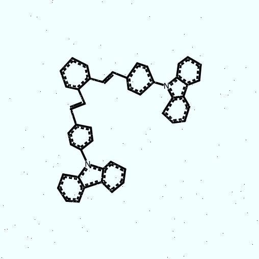 C(=Cc1ccccc1C=Cc1ccc(-n2c3ccccc3c3ccccc32)cc1)c1ccc(-n2c3ccccc3c3ccccc32)cc1